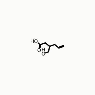 C=CC[C](CO)CC(=O)O